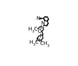 CC1CN(c2ccc3cccc(C#N)c3n2)CC(CN2CCN(C)[C@@H](C)C2)O1